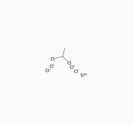 CC(Cl)Cl.[Cl-].[Cl-].[Cl-].[Cl-].[Ti+4]